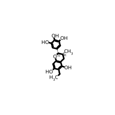 CCc1c(O)cc2c(c1O)C[C@@H](C)[C@@H](c1cc(O)c(O)c(O)c1)O2